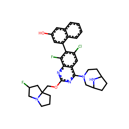 Oc1cc(-c2c(Cl)cc3c(N4CCC5CCC(C4)N5)nc(OCC45CCCN4CC(F)C5)nc3c2F)c2ccccc2c1